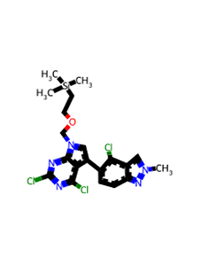 Cn1cc2c(Cl)c(-c3cn(COCC[Si](C)(C)C)c4nc(Cl)nc(Cl)c34)ccc2n1